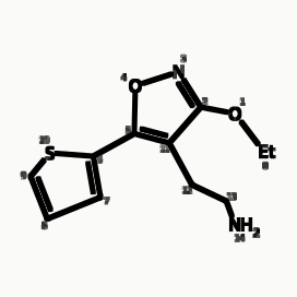 CCOc1noc(-c2cccs2)c1CCN